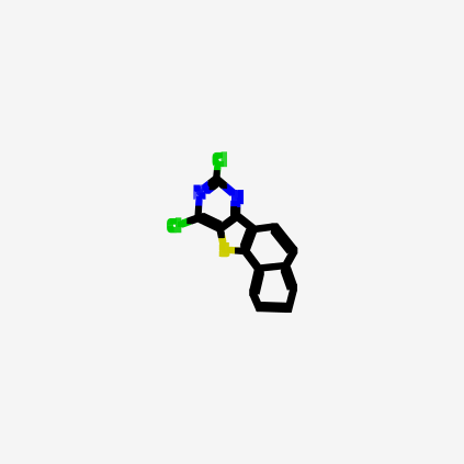 Clc1nc(Cl)c2sc3c4ccccc4ccc3c2n1